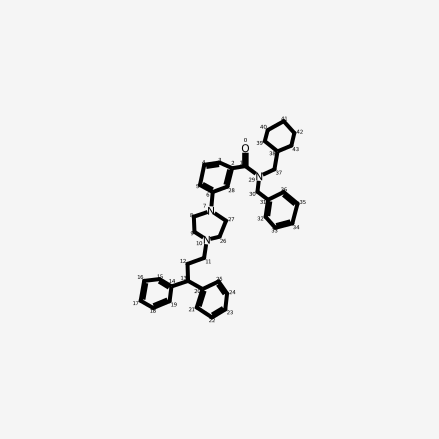 O=C(c1cccc(N2CCN(CCC(c3ccccc3)c3ccccc3)CC2)c1)N(Cc1ccccc1)CC1CCCCC1